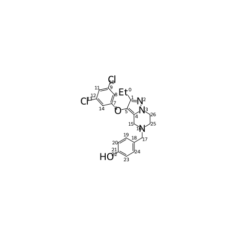 CCc1nn2c(c1Oc1cc(Cl)cc(Cl)c1)CN(Cc1ccc(O)cc1)CC2